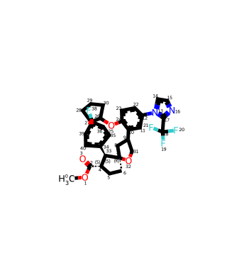 COC(=O)[C@H]1CC[C@@]2(CC(c3cc(-n4ccnc4C(F)(F)F)ccc3OC3CCCC3)CO2)[C@@H]1c1ccc(F)cc1